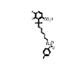 Cc1ccc(S(=O)(=O)OCCCCCCC(C)(C)c2c(C(=O)O)ccc(F)c2F)cc1